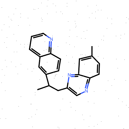 Cc1ccc2ncc(CC(C)c3ccc4ncccc4c3)nc2c1